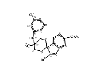 COc1ccc2c(c1)C=C(Br)C21CCC(C#N)(Nc2cccc(Cl)c2)CC1